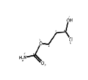 NC(=O)OCCC(O)Cl